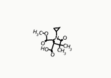 COC(=O)C1=C(C(=O)O)C(C)(C)C(=O)N1C1CC1